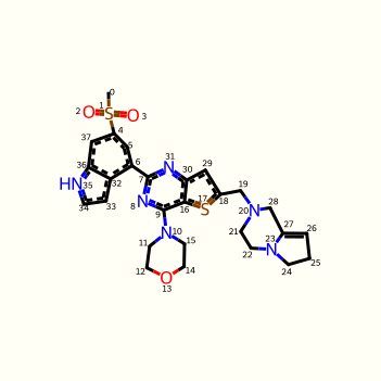 CS(=O)(=O)c1cc(-c2nc(N3CCOCC3)c3sc(CN4CCN5CCC=C5C4)cc3n2)c2cc[nH]c2c1